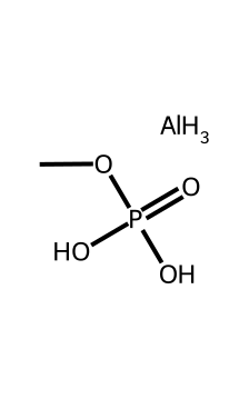 COP(=O)(O)O.[AlH3]